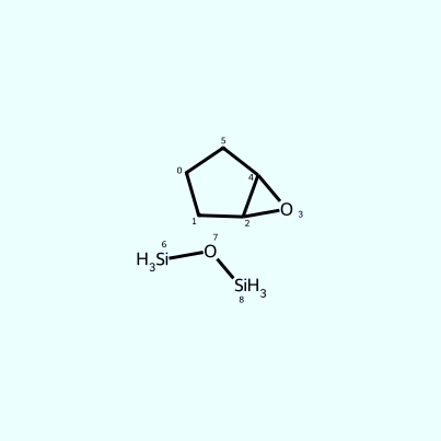 C1CC2OC2C1.[SiH3]O[SiH3]